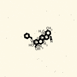 C[C@H]1[C@H](C)CC[C@]2(CC#N)CC[C@]3(C)C(=CC[C@@H]4[C@@]5(C)C[C@@H](OCc6ccccc6)[C@H](O)[C@@](C)(CO)[C@@H]5CC[C@]43C)[C@H]12